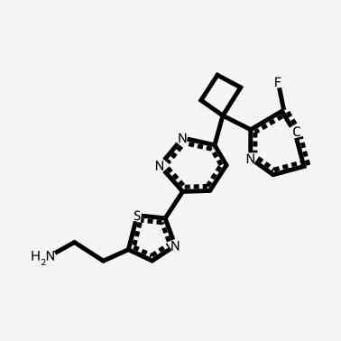 NCCc1cnc(-c2ccc(C3(c4ncccc4F)CCC3)nn2)s1